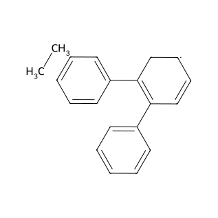 CC.[CH]1C=CC(c2ccccc2)=C(c2ccccc2)C1